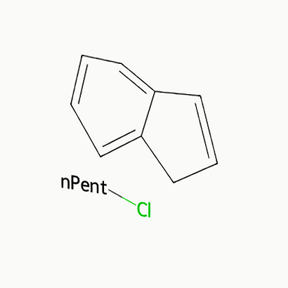 C1=Cc2ccccc2C1.CCCCCCl